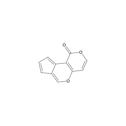 O=c1occc2occ3cccc-3c12